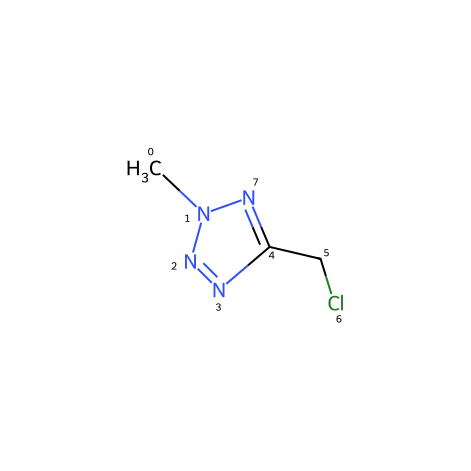 Cn1nnc(CCl)n1